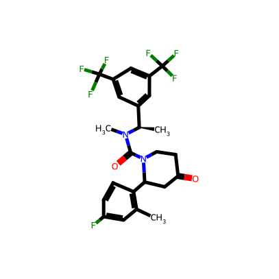 Cc1cc(F)ccc1C1CC(=O)CCN1C(=O)N(C)[C@H](C)c1cc(C(F)(F)F)cc(C(F)(F)F)c1